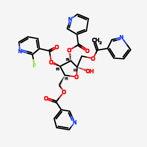 C=C(OC[C@@]1(O)O[C@H](COC(=O)c2cccnc2)[C@@H](OC(=O)c2cccnc2F)[C@@H]1OC(=O)c1cccnc1)c1cccnc1